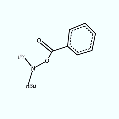 CCCCN(OC(=O)c1ccccc1)C(C)C